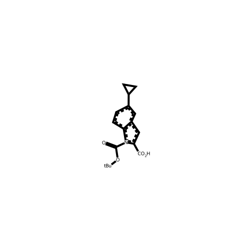 CC(C)(C)OC(=O)n1c(C(=O)O)cc2cc(C3CC3)ccc21